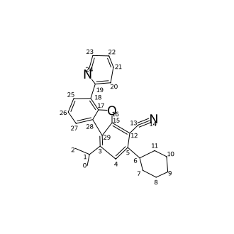 CC(C)c1cc(C2CCCCC2)c(C#N)c2oc3c(-c4ccccn4)cccc3c12